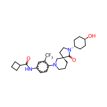 O=C(Nc1ccc(N2CCC[C@]3(CCN([C@H]4CC[C@H](O)CC4)C3=O)C2)c(C(F)(F)F)c1)C1CCC1